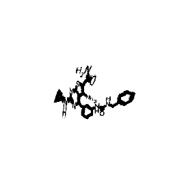 NC(=O)c1sc2nc(NC3CC3)nc(-c3cccc(NC(=O)NCc4ccccc4)c3)c2c1N